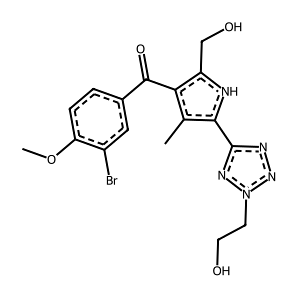 COc1ccc(C(=O)c2c(CO)[nH]c(-c3nnn(CCO)n3)c2C)cc1Br